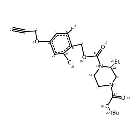 C#CCOc1cc(F)c(COC(=O)N2CCN(C(=O)OC(C)(C)C)C[C@H]2CC)c(Cl)c1